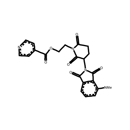 CNc1cccc2c1C(=O)N(C1CCC(=O)N(CCOC(=O)c3ccncc3)C1=O)C2=O